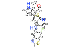 Fc1cc2scnc2cc1Nc1ccnc2sc(C3=CCNC34CCOCC4)cc12